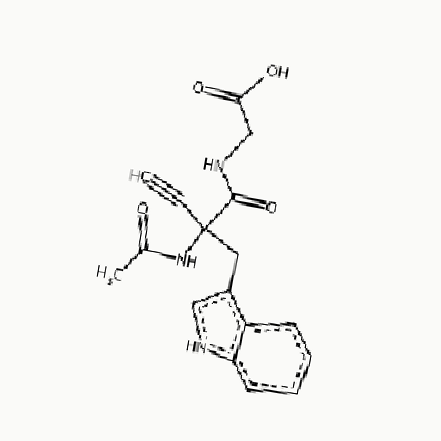 C#CC(Cc1c[nH]c2ccccc12)(NC(C)=O)C(=O)NCC(=O)O